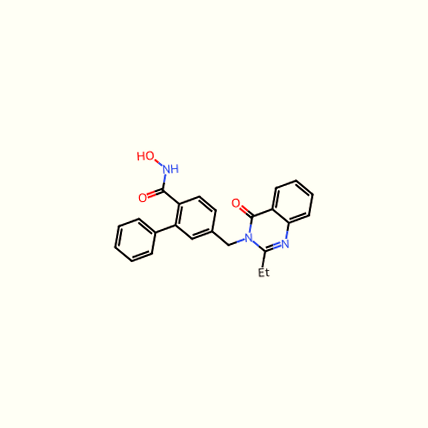 CCc1nc2ccccc2c(=O)n1Cc1ccc(C(=O)NO)c(-c2ccccc2)c1